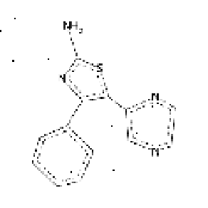 Nc1nc(-c2ccccc2)c(-c2cnccn2)s1